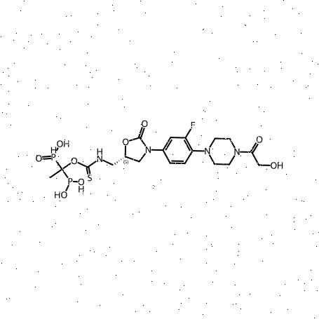 CC(OC(=S)NC[C@H]1CN(c2ccc(N3CCN(C(=O)CO)CC3)c(F)c2)C(=O)O1)(P(O)O)[PH](=O)O